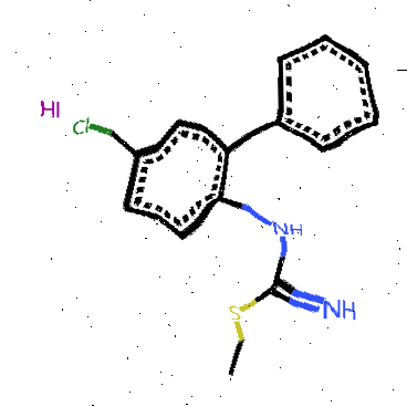 CSC(=N)Nc1ccc(Cl)cc1-c1ccccc1.I